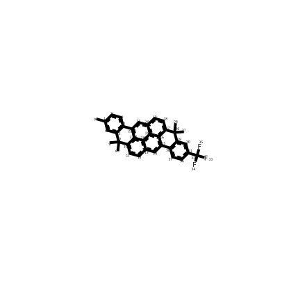 Cc1ccc2c(c1)C(C)(C)c1ccc3cc4c5c(ccc6cc-2c1c3c65)C(C)(C)c1cc(C(F)(F)F)ccc1-4